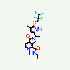 CCNC(=O)c1nccc2c1CN(C(C)c1cc(C)c(OCC(F)(F)C(F)F)[nH]1)C2=O